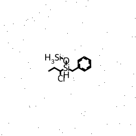 CCC(Cl)[SiH](Cc1ccccc1)O[SiH3]